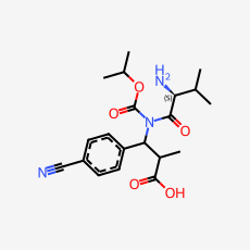 CC(C)OC(=O)N(C(=O)[C@@H](N)C(C)C)C(c1ccc(C#N)cc1)C(C)C(=O)O